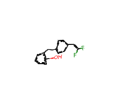 Oc1ccccc1Cc1ccc(C=C(F)F)cc1